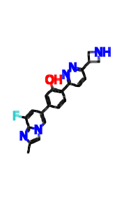 Cc1cn2cc(-c3ccc(-c4ccc(C5CNC5)nn4)c(O)c3)cc(F)c2n1